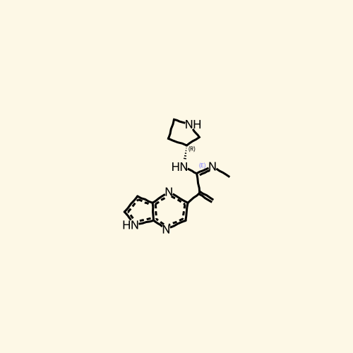 C=C(/C(=N\C)N[C@@H]1CCNC1)c1cnc2[nH]ccc2n1